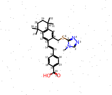 Cn1cnnc1SCc1cc2c(cc1/C=C/c1ccc(C(=O)O)cc1)C(C)(C)CCC2(C)C